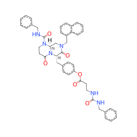 O=C(NCCC(=O)Oc1ccc(C[C@H]2C(=O)N(Cc3cccc4ccccc34)C[C@@H]3N(C(=O)NCc4ccccc4)CCC(=O)N32)cc1)NCc1ccccc1